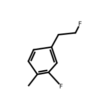 Cc1ccc(CCF)cc1F